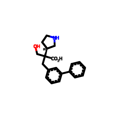 O=C(O)C(CO)(Cc1cccc(-c2ccccc2)c1)[C@H]1CCNC1